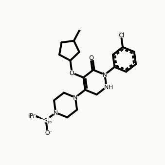 CC1CCC(OC2=C(N3CCN([S@@+]([O-])C(C)C)CC3)CNN(c3cccc(Cl)c3)C2=O)C1